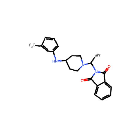 CCCC(N1CCC(Nc2cccc(C(F)(F)F)c2)CC1)N1C(=O)c2ccccc2C1=O